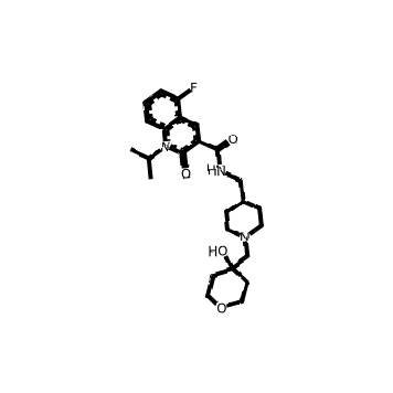 CC(C)n1c(=O)c(C(=O)NCC2CCN(CC3(O)CCOCC3)CC2)cc2c(F)cccc21